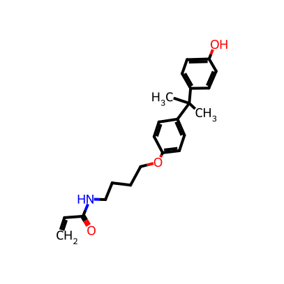 C=CC(=O)NCCCCOc1ccc(C(C)(C)c2ccc(O)cc2)cc1